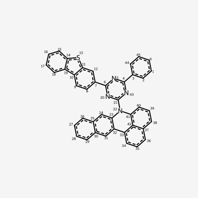 c1ccc(-c2nc(-c3ccc4c(c3)sc3ccccc34)nc(N3c4cc5ccccc5cc4-c4cccc5cccc3c45)n2)cc1